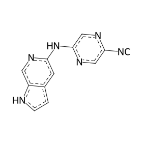 [C-]#[N+]c1cnc(Nc2cc3cc[nH]c3cn2)cn1